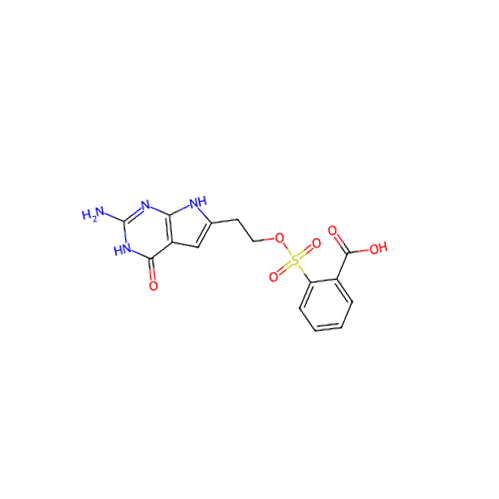 Nc1nc2[nH]c(CCOS(=O)(=O)c3ccccc3C(=O)O)cc2c(=O)[nH]1